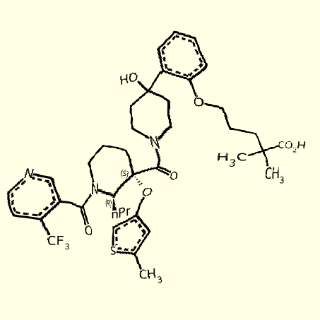 CCC[C@H]1N(C(=O)c2cnccc2C(F)(F)F)CCC[C@@]1(Oc1csc(C)c1)C(=O)N1CCC(O)(c2ccccc2OCCCC(C)(C)C(=O)O)CC1